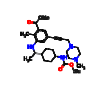 COC(=O)c1cc(C#CCN2CCN(C)CC2)cc(NC(C)[C@H]2CC[C@H](NC(=O)OC(C)(C)C)CC2)c1C